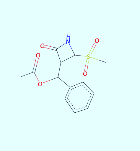 CC(=O)OC(c1ccccc1)C1C(=O)NC1S(C)(=O)=O